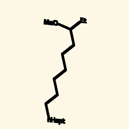 [CH2]CC(CCCCCCCCCCCCC)OC